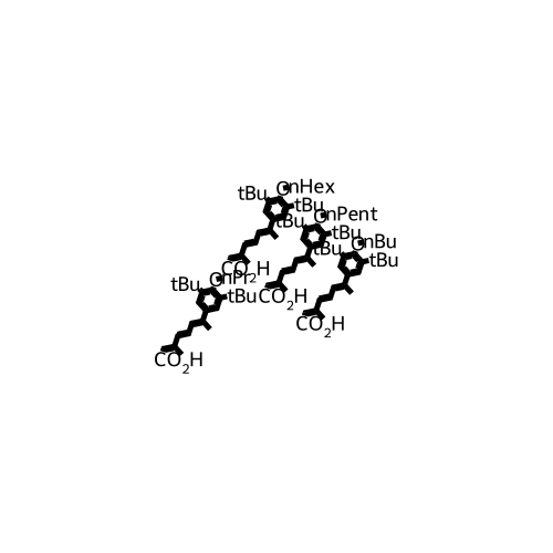 CCCCCCOc1c(C(C)(C)C)cc(/C(C)=C/C=C/C(C)=C/C(=O)O)cc1C(C)(C)C.CCCCCOc1c(C(C)(C)C)cc(/C(C)=C/C=C/C(C)=C/C(=O)O)cc1C(C)(C)C.CCCCOc1c(C(C)(C)C)cc(/C(C)=C/C=C/C(C)=C/C(=O)O)cc1C(C)(C)C.CCCOc1c(C(C)(C)C)cc(/C(C)=C/C=C/C(C)=C/C(=O)O)cc1C(C)(C)C